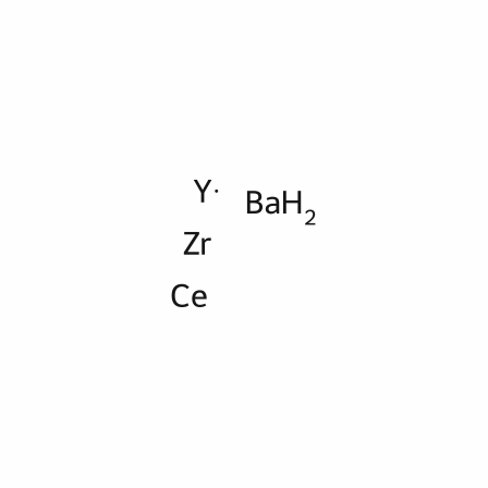 [BaH2].[Ce].[Y].[Zr]